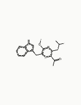 COc1nc(CC(C)C)c(C(C)=O)nc1Cc1c[nH]c2ccccc12